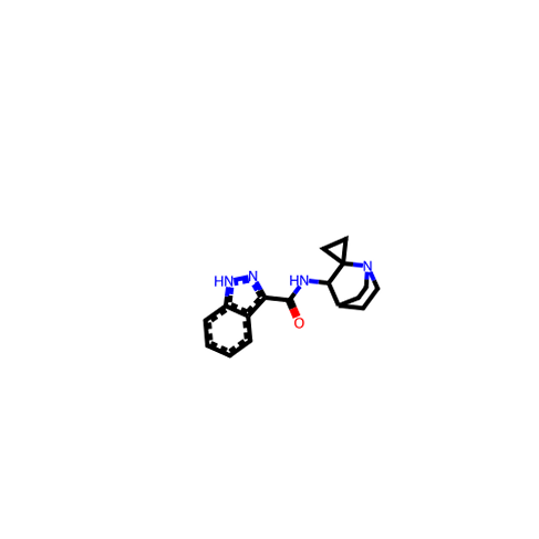 O=C(NC1C2CCN(CC2)C12CC2)c1n[nH]c2ccccc12